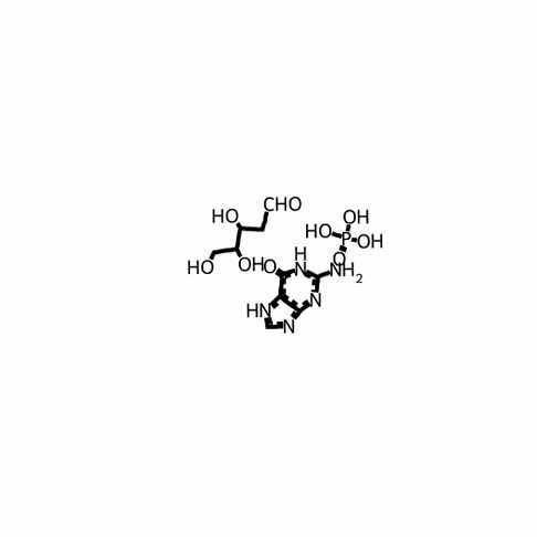 Nc1nc2nc[nH]c2c(=O)[nH]1.O=CCC(O)C(O)CO.O=P(O)(O)O